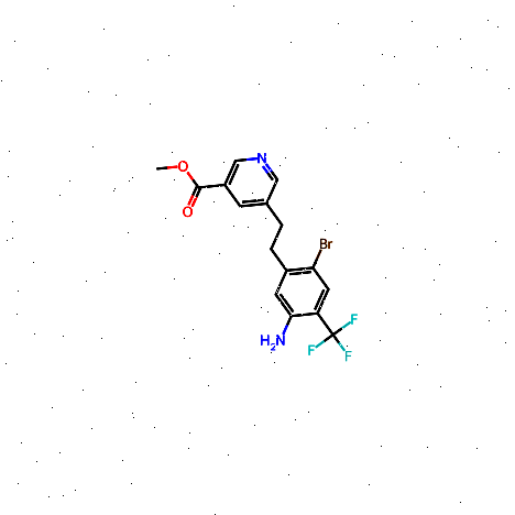 COC(=O)c1cncc(CCc2cc(N)c(C(F)(F)F)cc2Br)c1